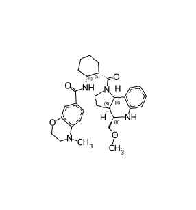 COC[C@@H]1Nc2ccccc2[C@H]2[C@@H]1CCN2C(=O)[C@H]1CCCC[C@H]1NC(=O)c1ccc2c(c1)OCCN2C